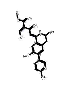 C=C(/C=C1\NC(C(C)(C)C)Cc2cc(-c3ccc(C)nc3)c(OC)cc21)/C(=C\C)C(=C)OCC